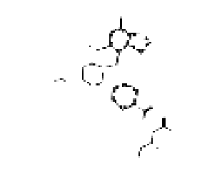 CCO[C@@H]1CCN(Cc2c(OC)cc(C)c3[nH]ccc23)[C@H](c2ccc(C(=O)N[C@H](C(=O)O)[C@@H](C)CC)cc2)C1